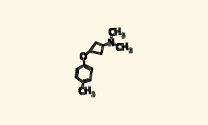 Cc1ccc(OC2CC(N(C)C)C2)cc1